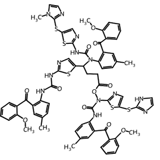 COc1ccccc1C(=O)c1cc(C)ccc1NC(=O)Nc1ncc(C(CCC(=O)ON(C(=O)Nc2ccc(C)cc2C(=O)c2ccccc2OC)c2ncc(Sc3ncc[nH]3)s2)N(C(=O)Nc2ncc(Sc3nccn3C)s2)c2ccc(C)cc2C(=O)c2ccccc2OC)s1